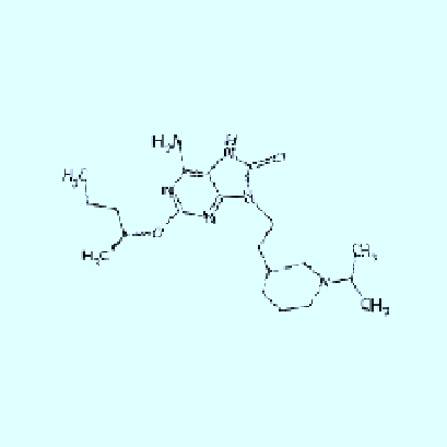 CCC[C@H](C)Oc1nc(N)c2[nH]c(=O)n(CCC3CCCN(C(C)C)C3)c2n1